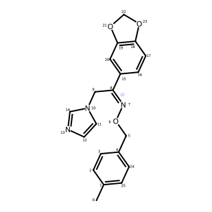 Cc1ccc(CO/N=C(\Cn2ccnc2)c2ccc3c(c2)OCO3)cc1